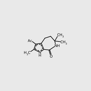 CC(=O)c1c(C)[nH]c2c1CCC(C)(C)NC2=O